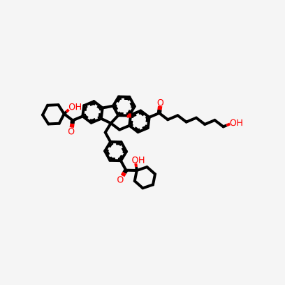 O=C(CCCCCCCO)c1ccc(CC2(Cc3ccc(C(=O)C4(O)CCCCC4)cc3)c3ccccc3-c3ccc(C(=O)C4(O)CCCCC4)cc32)cc1